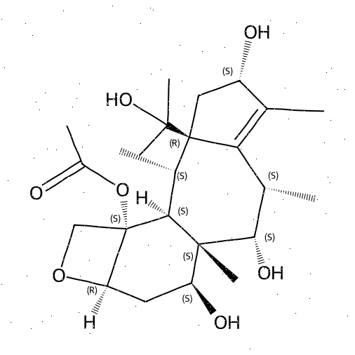 CC(=O)O[C@@]12CO[C@@H]1C[C@H](O)[C@]1(C)[C@@H]2[C@H](C)[C@]2(C(C)(C)O)C[C@H](O)C(C)=C2[C@H](C)[C@@H]1O